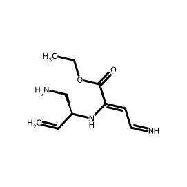 C=C[C@@H](CN)N/C(=C\C=N)C(=O)OCC